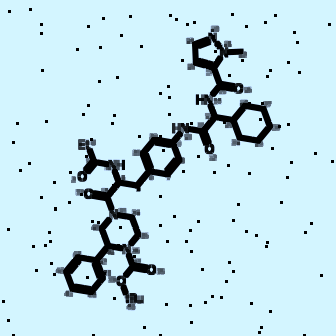 CCC(=O)NC(Cc1ccc(NC(=O)C(NC(=O)c2ccnn2C)C2CCCCC2)cc1)C(=O)N1CCN(C(=O)OC(C)(C)C)C(c2ccccc2)C1